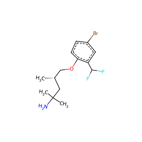 C[C@H](COc1ccc(Br)cc1C(F)F)CC(C)(C)N